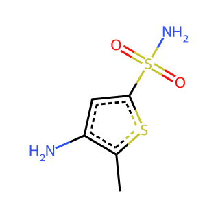 Cc1sc(S(N)(=O)=O)cc1N